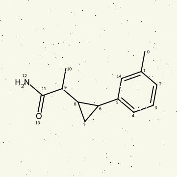 Cc1cccc(C2CC2C(C)C(N)=O)c1